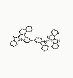 c1ccc2c(c1)ccc1c2c2cc(-c3ccc4c(c3)c3ccccc3n4-c3nc4ccccc4c4nc5ccccc5n34)ccc2n2c3ccccc3nc12